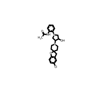 CC(=O)Nc1ccccc1N1CC(O)C(N2CCC3(CC2)Cc2cc(Cl)ccc2O3)C1